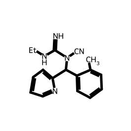 CCNC(=N)N(C#N)C(c1ccccn1)c1ccccc1C